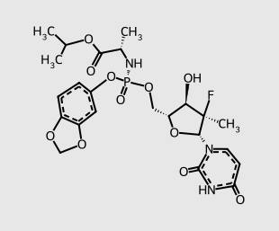 CC(C)OC(=O)[C@H](C)N[P@@](=O)(OC[C@H]1O[C@@H](n2ccc(=O)[nH]c2=O)[C@](C)(F)[C@@H]1O)Oc1ccc2c(c1)OCO2